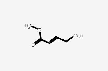 NOC(=O)C=CCC(=O)O